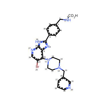 O=C(O)NCc1ccc(-c2nc3c(N4CCN(Cc5cccnc5)CC4)c(Br)cnc3[nH]2)cc1